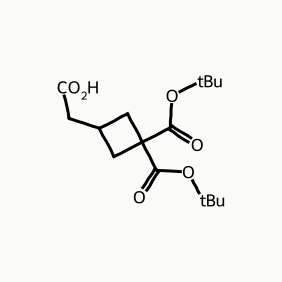 CC(C)(C)OC(=O)C1(C(=O)OC(C)(C)C)CC(CC(=O)O)C1